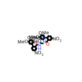 COc1cc(-c2ccc([N+](=O)[O-])cc2C(=O)NCCNC(=O)c2cc([N+](=O)[O-])ccc2-c2cc(OC)c(OC)c(OC)c2)cc(OC)c1OC